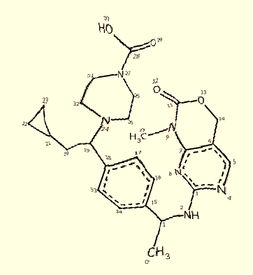 CC(Nc1ncc2c(n1)N(C)C(=O)OC2)c1ccc(C(CC2CC2)N2CCN(C(=O)O)CC2)cc1